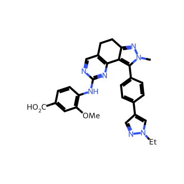 CCn1cc(-c2ccc(-c3c4c(nn3C)CCc3cnc(Nc5ccc(C(=O)O)cc5OC)nc3-4)cc2)cn1